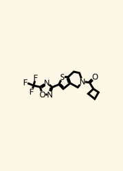 O=C(C1CCC1)N1CCc2sc(-c3noc(C(F)(F)F)n3)cc2C1